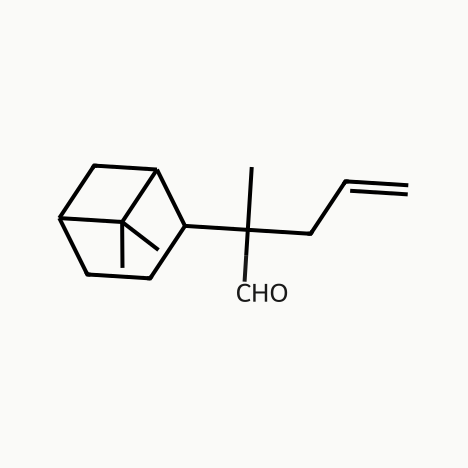 C=CCC(C)(C=O)C1CCC2CC1C2(C)C